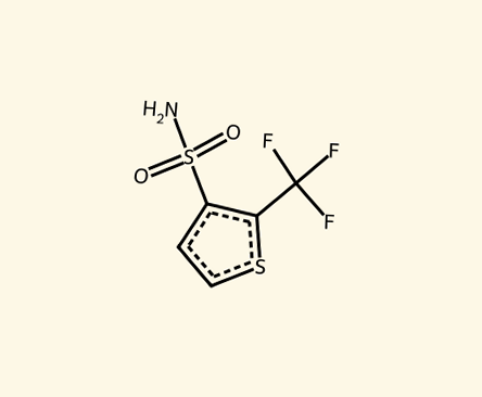 NS(=O)(=O)c1ccsc1C(F)(F)F